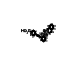 O=C(O)c1ccc(C#Cc2ccccc2NS(=O)(=O)N2CCc3ccccc3C2)cn1